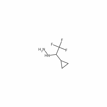 NNC(C1CC1)C(F)(F)F